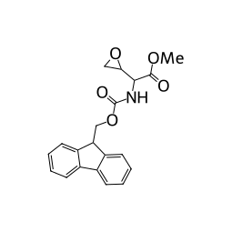 COC(=O)C(NC(=O)OCC1c2ccccc2-c2ccccc21)C1CO1